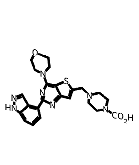 O=C(O)N1CCN(Cc2cc3nc(-c4cccc5[nH]ncc45)nc(N4CCOCC4)c3s2)CC1